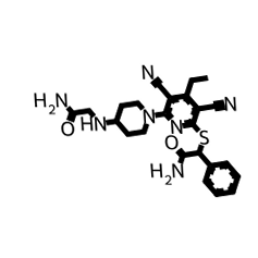 CCc1c(C#N)c(SC(C(N)=O)c2ccccc2)nc(N2CCC(NCC(N)=O)CC2)c1C#N